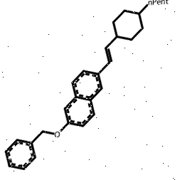 CCCCCC1CCC(/C=C/c2ccc3cc(OCc4ccccc4)ccc3c2)CC1